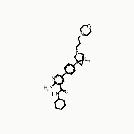 Nc1ncc(-c2ccc([C@]34C[C@H]3CN(CCCN3CCOCC3)C4)cc2)cc1C(=O)NC1CCCCC1